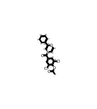 CC(=O)Oc1c(Cl)cc(C(=O)N2C=COC(C3=CC=CCC3)=C2)cc1Cl